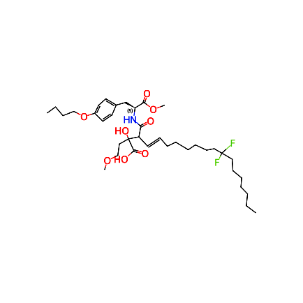 CCCCCCCC(F)(F)CCCCCCC=CC(C(=O)N[C@@H](Cc1ccc(OCCCC)cc1)C(=O)OC)C(O)(CCOC)C(=O)O